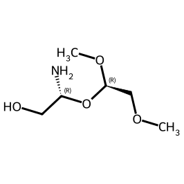 COC[C@H](OC)O[C@@H](N)CO